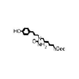 CCCCCCCCCCCCCCCN(CCCc1ccc(O)cc1)C(N)=O